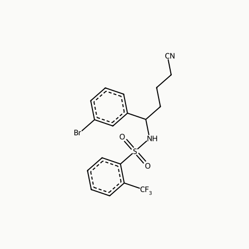 N#CCCCC(NS(=O)(=O)c1ccccc1C(F)(F)F)c1cccc(Br)c1